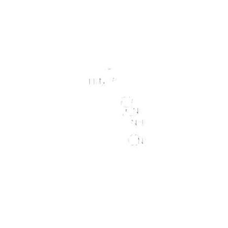 NC/C(=C\F)COc1ccc2nc(NCc3cccnc3)oc2c1